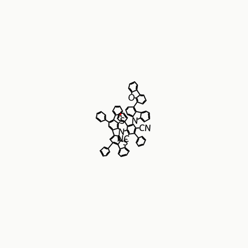 N#Cc1c(-c2ccccc2)c(C#N)c(-n2c3c(cc(-c4ccccc4)c4c5ccccc5sc43)c3cc(-c4ccccc4)c4c5ccccc5sc4c32)c(-c2ccccc2)c1-n1c2ccccc2c2c(-c3cccc4c3oc3ccccc34)cccc21